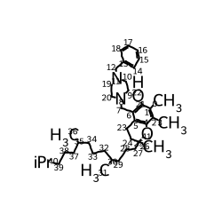 Cc1c(C)c2c(c(CN3CCN(Cc4ccccc4)CC3)c1O)CCC(C)(CCCC(C)CCCC(C)CCCC(C)C)O2